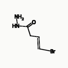 NNC(=O)CC=CBr